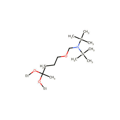 CCOC(C)(OCC)[SiH2]CCOCN([Si](C)(C)C)[Si](C)(C)C